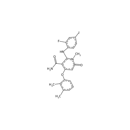 Cc1cccc(Oc2cc(=O)n(C)c(Nc3ccc(I)cc3F)c2C(N)=O)c1C